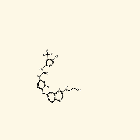 O=C(Nc1ccc(Oc2ccc3ncc([AsH]CCO)nc3c2)c(F)c1)Nc1ccc(Cl)c(C(F)(F)F)c1